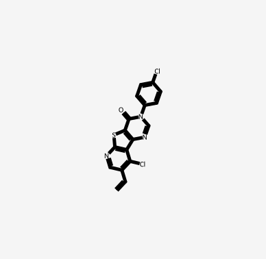 C=Cc1cnc2sc3c(=O)n(-c4ccc(Cl)cc4)cnc3c2c1Cl